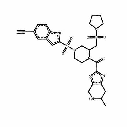 C#Cc1ccc2[nH]c(S(=O)(=O)N3CCN(C(=O)c4nc5c(s4)CNC(C)C5)C(CS(=O)(=O)N4CCCC4)C3)cc2c1